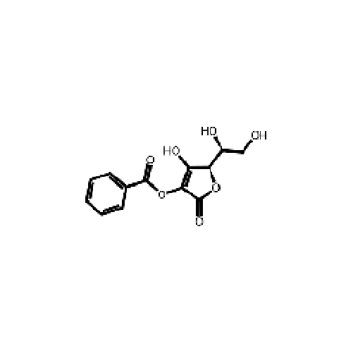 O=C1O[C@H]([C@@H](O)CO)C(O)=C1OC(=O)c1ccccc1